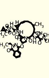 CCn1nc(O[C@@H]2C[C@H]3C(=O)N[C@]4(C(=O)NS(=O)(=O)C5(C)CC5)C[C@H]4C=CCC[C@@H](C)C[C@@H](C)[C@H](NC(=O)C(=O)N(C)C)C(=O)N3C2)c2ccccc2c1=O